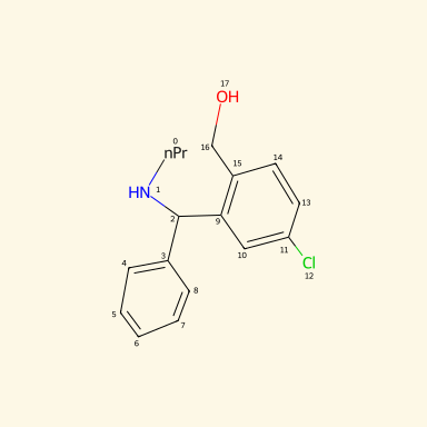 CCCNC(c1ccccc1)c1cc(Cl)ccc1CO